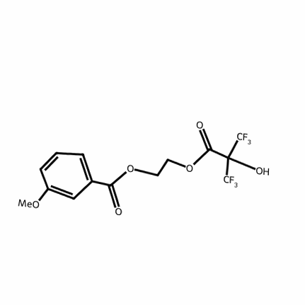 COc1cccc(C(=O)OCCOC(=O)C(O)(C(F)(F)F)C(F)(F)F)c1